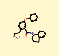 O=C(O)CCc1ccc(Oc2ccccc2)cc1C(=O)N[C@@H]1CCCc2ccccc21